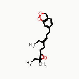 CC/C(=C\CCc1ccc2c(c1)OOC2)CCC1OC1(C)CC